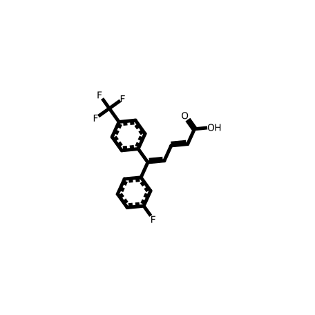 O=C(O)/C=C/C=C(\c1ccc(C(F)(F)F)cc1)c1cccc(F)c1